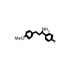 COc1ccc(CCC(N)c2ccc(F)cc2)cc1